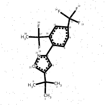 CC(C)(C)c1cc(-c2ccc(C(F)(F)F)cc2C(C)(F)F)no1